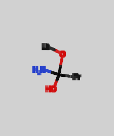 CCOC(N)(O)C(C)C